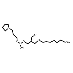 CCCCCCCCCCCCCCCCOCC(COP(O)OCCCN1CCCC1)CC(C)=O